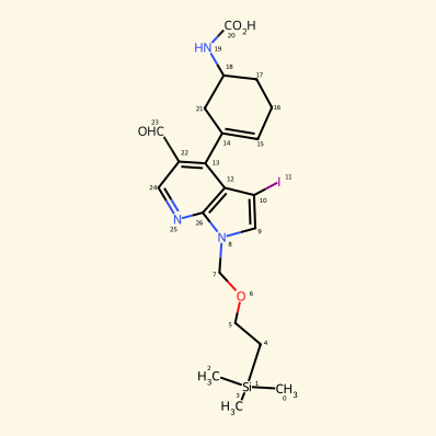 C[Si](C)(C)CCOCn1cc(I)c2c(C3=CCCC(NC(=O)O)C3)c(C=O)cnc21